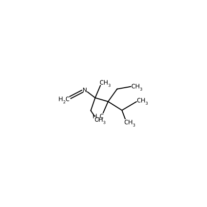 C=NC(C)(CC)C(C)(CC)C(C)C